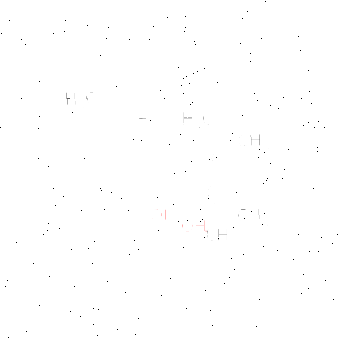 CCCCCCc1c(C(C)C)cc(C(C)C)c(CO)c1-c1ccccc1O